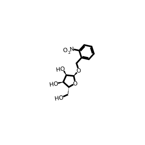 O=[N+]([O-])c1ccccc1CO[C@H]1O[C@H](CO)[C@@H](O)[C@H]1O